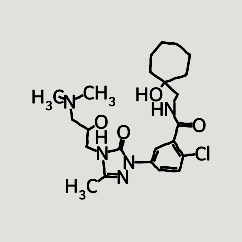 Cc1nn(-c2ccc(Cl)c(C(=O)NCC3(O)CCCCCC3)c2)c(=O)n1CC(O)CN(C)C